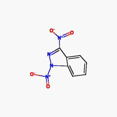 O=[N+]([O-])c1nn([N+](=O)[O-])c2ccccc12